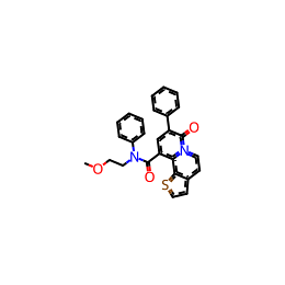 COCCN(C(=O)c1cc(-c2ccccc2)c(=O)n2ccc3ccsc3c12)c1ccccc1